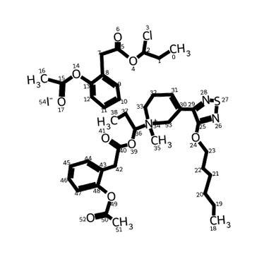 CCC(Cl)OC(=O)Cc1ccccc1OC(C)=O.CCCCCCOc1nsnc1C1=CCC[N+](C)(C(CC)OC(=O)Cc2ccccc2OC(C)=O)C1.[I-]